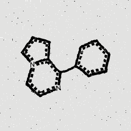 c1ccc(-c2nccn3cccc23)cc1